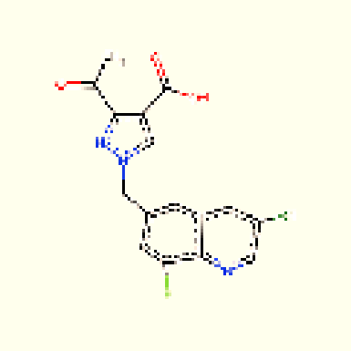 CC(=O)c1nn(Cc2cc(F)c3ncc(Cl)cc3c2)cc1C(=O)O